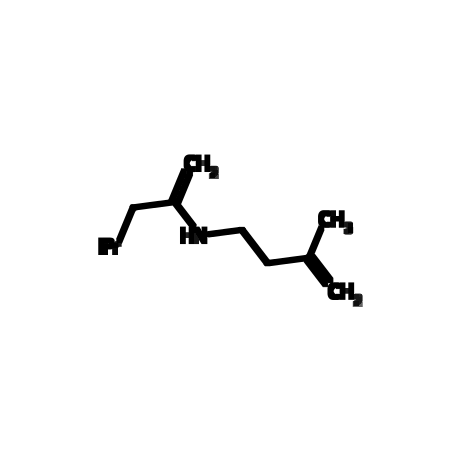 C=C(C)CCNC(=C)CC(C)C